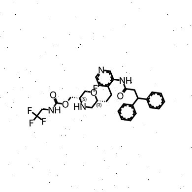 O=C(CC(c1ccccc1)c1ccccc1)Nc1cncc(F)c1CC[C@@H]1CN[C@H](COC(=O)NCC(F)(F)F)CO1